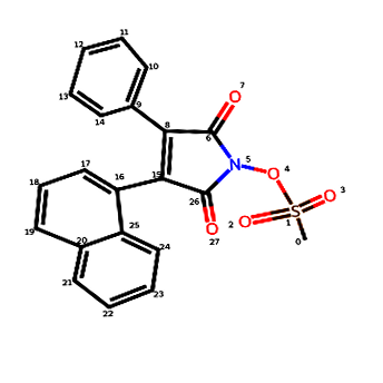 CS(=O)(=O)ON1C(=O)C(c2ccccc2)=C(c2cccc3ccccc23)C1=O